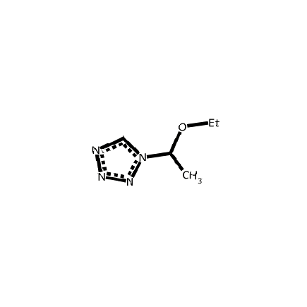 CCOC(C)n1[c]nnn1